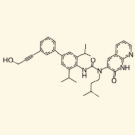 CC(C)CCN(C(=O)Nc1c(C(C)C)cc(-c2cccc(C#CCO)c2)cc1C(C)C)c1cc2cccnc2[nH]c1=O